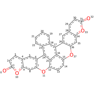 O=c1ccc2cc3c(cc2o1)Oc1ccc2c4c(c5ccccc5c-3c14)-c1cc3ccc(=O)oc3cc1O2